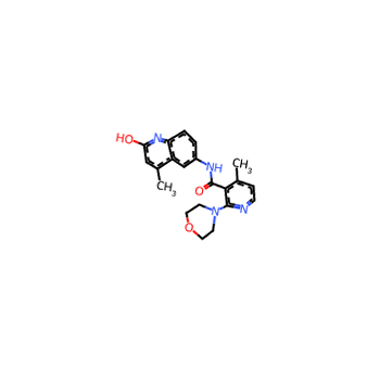 Cc1ccnc(N2CCOCC2)c1C(=O)Nc1ccc2nc(O)cc(C)c2c1